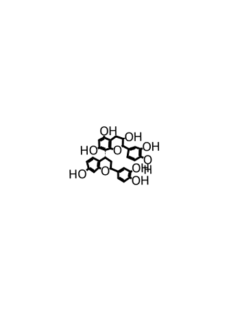 Oc1ccc2c(c1)OC(c1ccc(O)c(O)c1)C[C@H]2c1c(O)cc(O)c2c1OC(c1ccc(O)c(O)c1)[C@@H](O)C2